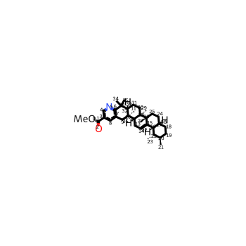 COC(=O)c1cnc2c(c1)C[C@]1(C)[C@H]3CC=C4[C@H]5[C@@H](CC[C@@H](C)[C@@H]5C)CC[C@@]4(C)[C@]3(C)CC[C@H]1C2(C)C